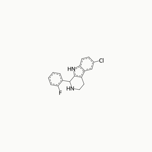 Fc1ccccc1C1NCCc2c1[nH]c1ccc(Cl)cc21